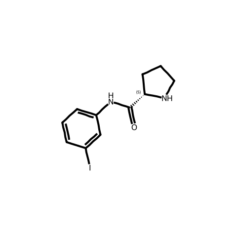 O=C(Nc1cccc(I)c1)[C@@H]1CCCN1